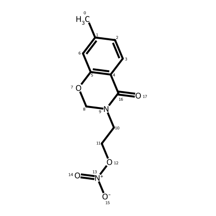 Cc1ccc2c(c1)OCN(CCO[N+](=O)[O-])C2=O